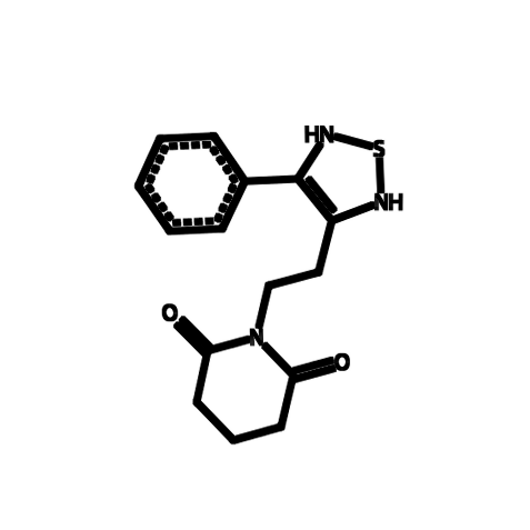 O=C1CCCC(=O)N1CCC1=C(c2ccccc2)NSN1